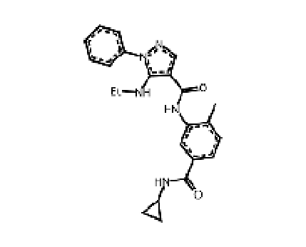 CCNc1c(C(=O)Nc2cc(C(=O)NC3CC3)ccc2C)cnn1-c1ccccc1